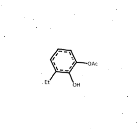 CCc1cccc(OC(C)=O)c1O